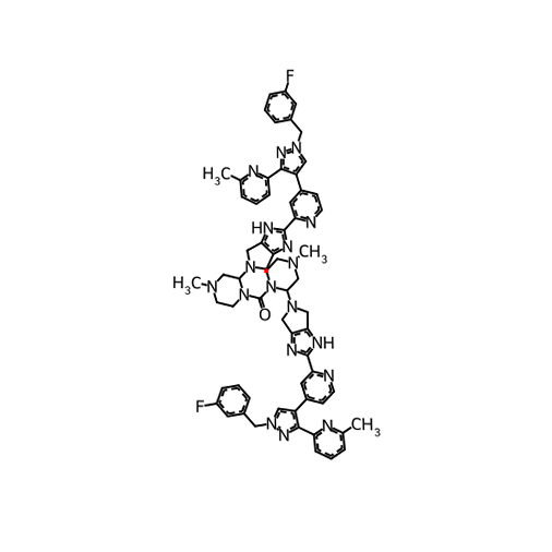 Cc1cccc(-c2nn(Cc3cccc(F)c3)cc2-c2ccnc(-c3nc4c([nH]3)CN(C3CN(C)CCN3C(=O)N3CCN(C)CC3N3Cc5nc(-c6cc(-c7cn(Cc8cccc(F)c8)nc7-c7cccc(C)n7)ccn6)[nH]c5C3)C4)c2)n1